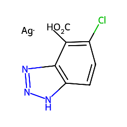 O=C(O)c1c(Cl)ccc2[nH]nnc12.[Ag]